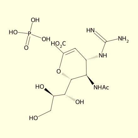 CC(=O)N[C@H]1[C@H]([C@H](O)[C@H](O)CO)OC(C(=O)O)=C[C@@H]1NC(=N)N.O=P(O)(O)O